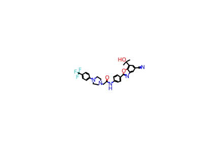 CC(C)(O)c1cc(C#N)cc2nc(-c3ccc(NC(=O)CN4CCN(c5ccc(C(F)(F)F)cc5)CC4)cc3)oc12